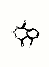 O=C1ONOC(=O)c2c(I)cccc21